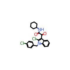 O=C(NC1CCCCC1)C(=O)c1c(Cl)n(Cc2ccc(Cl)cc2)c2ccccc12